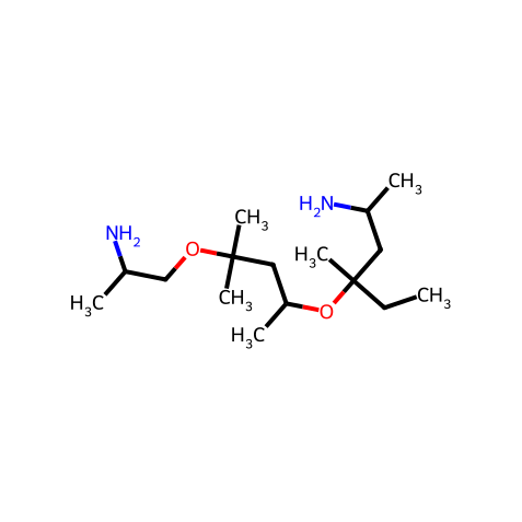 CCC(C)(CC(C)N)OC(C)CC(C)(C)OCC(C)N